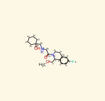 COCC1c2ccc(F)cc2CCN1C(=O)CNCC1(O)CCCCC1